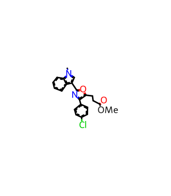 COC(=O)CCc1oc(-c2cn(C)c3ccccc23)nc1-c1ccc(Cl)cc1